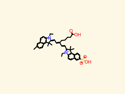 CCN1/C(=C/C=C(/C=C/C2=[N+](CC)c3ccc4cc(S(=O)(=O)O)ccc4c3C2(C)C)CCCCC(=O)O)C(C)(C)c2c1ccc1cc(C)ccc21